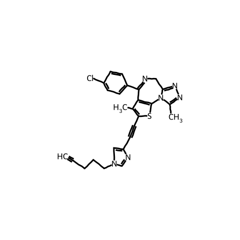 C#CCCCn1cnc(C#Cc2sc3c(c2C)C(c2ccc(Cl)cc2)=NCc2nnc(C)n2-3)c1